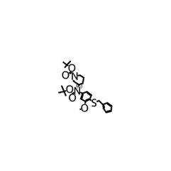 COc1cc(N(C(=O)OC(C)(C)C)[C@@H]2CCCN(C(=O)OC(C)(C)C)C2)ccc1SCc1ccccc1